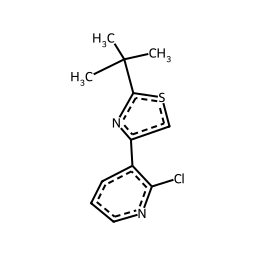 CC(C)(C)c1nc(-c2cccnc2Cl)cs1